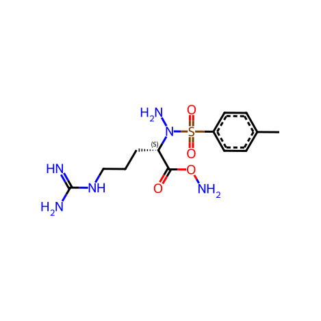 Cc1ccc(S(=O)(=O)N(N)[C@@H](CCCNC(=N)N)C(=O)ON)cc1